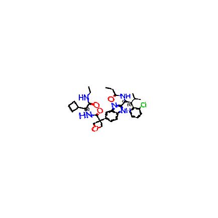 CCNC(=O)[C@H](NC(=O)C1(c2ccc3[nH]c([C@@H](NC(=O)CC)[C@H](c4ccccc4Cl)C(C)C)nc3c2)COC1)C1CCC1